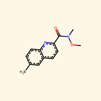 Bc1ccc2nc(C(=O)N(C)OC)ccc2c1